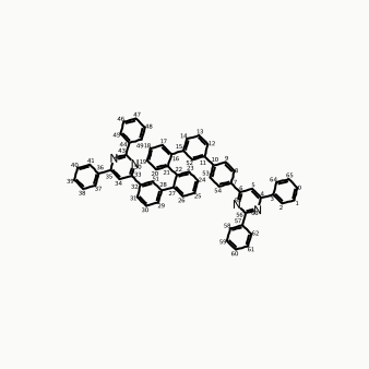 c1ccc(-c2cc(-c3ccc(-c4cccc(-c5ccccc5-c5ccccc5-c5cccc(-c6cc(-c7ccccc7)nc(-c7ccccc7)n6)c5)c4)cc3)nc(-c3ccccc3)n2)cc1